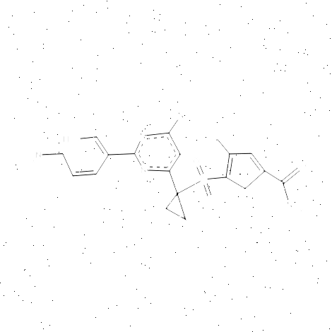 C/C=C(\C=C/CN)c1nc(N)cc(C2(S(=O)(=O)C3=C(Cl)C=C(C(N)=O)C3)CC2)n1